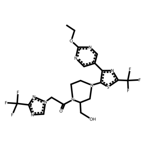 CCOc1ncc(-c2nc(C(F)(F)F)sc2N2CCN(C(=O)Cn3cnc(C(F)(F)F)n3)C(CO)C2)cn1